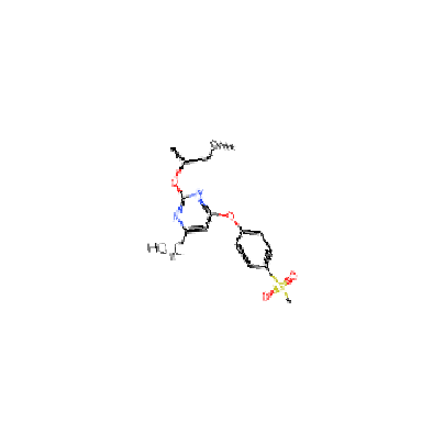 COCC(C)Oc1nc(Oc2ccc(S(C)(=O)=O)cc2)cc(C(=O)O)n1